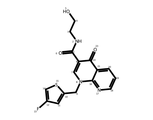 O=C(NCCO)c1cn(Cc2cc(F)cs2)c2ncccc2c1=O